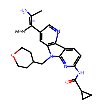 CN/C(=C(/C)N)c1cnc2c3ccc(NC(=O)C4CC4)nc3n(CC3CCOCC3)c2c1